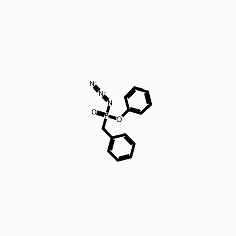 [N-]=[N+]=NP(=O)(Cc1ccccc1)Oc1ccccc1